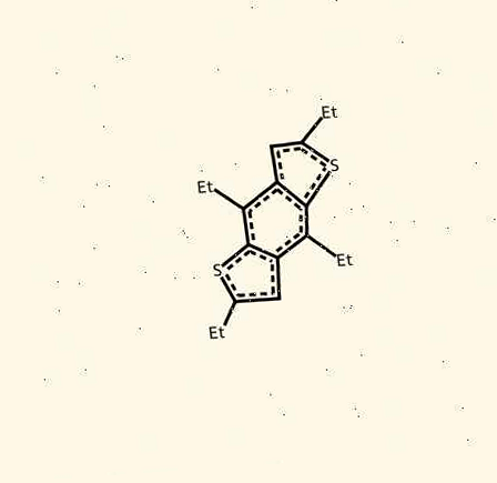 CCc1cc2c(CC)c3sc(CC)cc3c(CC)c2s1